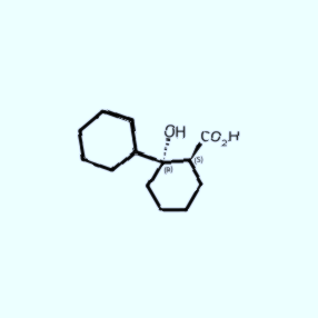 O=C(O)[C@H]1CCCC[C@@]1(O)C1CCCCC1